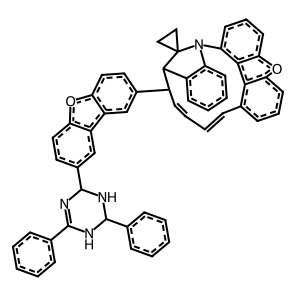 C1=C\C(c2ccc3oc4ccc(C5N=C(c6ccccc6)NC(c6ccccc6)N5)cc4c3c2)C2c3ccccc3N(c3cccc4oc5cccc(c5c34)/C=C/1)C21CC1